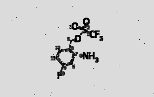 N.O=S(=O)(OCc1ccc(F)cc1)C(F)(F)F